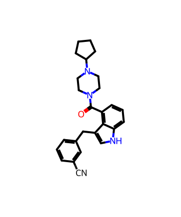 N#Cc1cccc(Cc2c[nH]c3cccc(C(=O)N4CCN(C5CCCC5)CC4)c23)c1